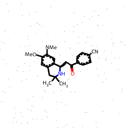 CNc1cc2c(cc1OC)CC(C)(C)NC2=CC(=O)c1ccc(C#N)cc1